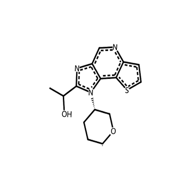 CC(O)c1nc2cnc3ccsc3c2n1[C@H]1CC[CH]OC1